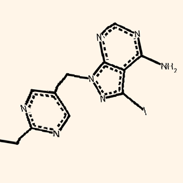 CCc1ncc(Cn2nc(I)c3c(N)ncnc32)cn1